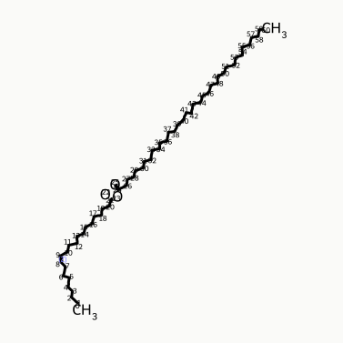 CCCCCCCC/C=C\CCCCCCCCCCCC(=O)OC(=O)CCCCCCCCCCCCCCCCCCCCCCCCCCCCCCCCCCC